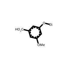 CCOc1cc(OC)cc(C(=O)O)c1